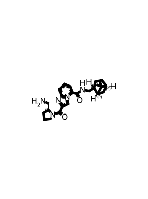 CC1(C)[C@H]2CC[C@@H](CNC(=O)c3cccc4nc(C(=O)N5CCC[C@H]5CN)cn34)[C@H]1C2